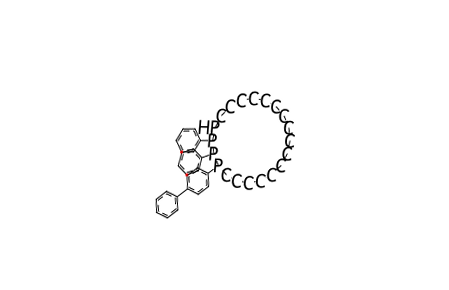 c1ccc(-c2ccc(P3CCCCCCCCCCCCCCCCPP(c4ccccc4)P3c3ccccc3)cc2)cc1